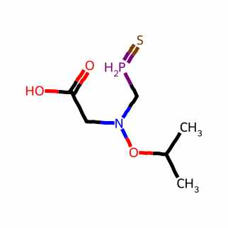 CC(C)ON(C[PH2]=S)CC(=O)O